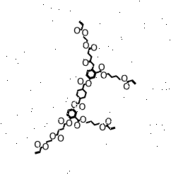 C=CC(=O)OCCCCOC(=O)c1cc(OC(=O)C2CCC(C(=O)Oc3ccc(OC(=O)CCC(=O)OCCOC(=O)C=C)c(C(=O)OCCCCOC(=O)C=C)c3)CC2)ccc1CC(=O)CCC(=O)OCCOC(=O)C=C